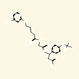 Cc1ccnc(NCCCCC(=O)NCC(=O)NC(CC(=O)O)c2ccc(OC(F)(F)F)cc2)c1